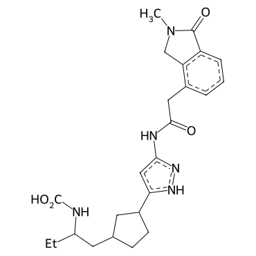 CCC(CC1CCC(c2cc(NC(=O)Cc3cccc4c3CN(C)C4=O)n[nH]2)C1)NC(=O)O